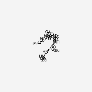 CC(C)C(C)/C=C\C(C)C(C)C(=O)OCC(COC(=O)C(C)C(C)/C=C\C(C)C(C)C)OP(=O)(O)OCCNC(=O)C(C)C(C)C(=O)NCCCN(CCCCNCCCNC(=O)OC(C)(C)C)C(=O)OC(C)(C)C